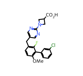 COc1ccc(Cc2cnc(N3CC(C(=O)O)C3)nc2)c(F)c1-c1cccc(Cl)c1